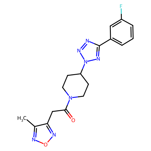 Cc1nonc1CC(=O)N1CCC(n2nnc(-c3cccc(F)c3)n2)CC1